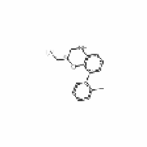 NC[C@H]1CNc2cccc(-c3ccccc3F)c2O1